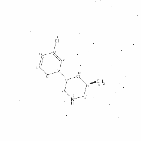 C[C@H]1CNC[C@H](C2C=C(Cl)C=CC2)O1